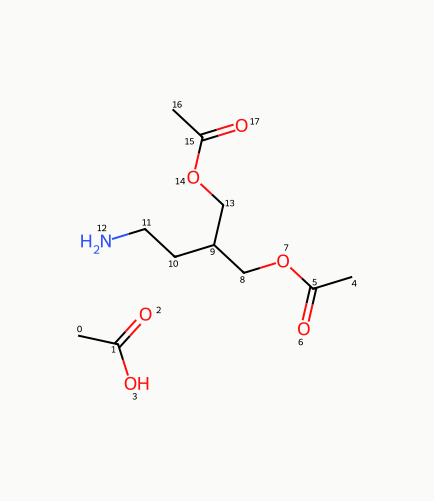 CC(=O)O.CC(=O)OCC(CCN)COC(C)=O